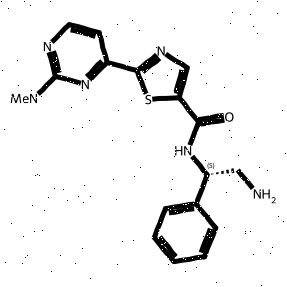 CNc1nccc(-c2ncc(C(=O)N[C@H](CN)c3ccccc3)s2)n1